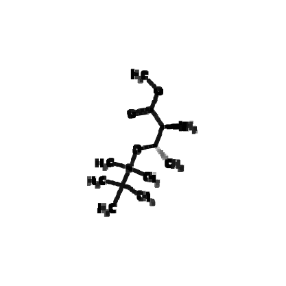 COC(=O)[C@@H](N)[C@H](C)O[Si](C)(C)C(C)(C)C